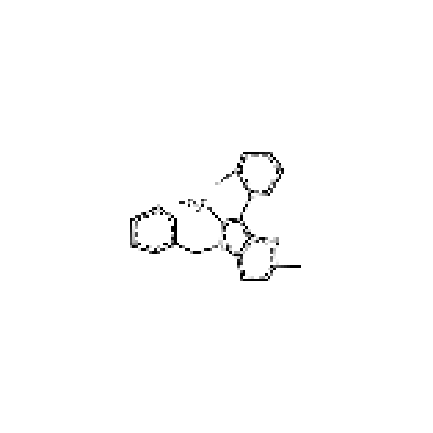 Cc1ccc2c(n1)c(-c1ccccc1F)c(C(=O)O)n2Cc1ccccc1